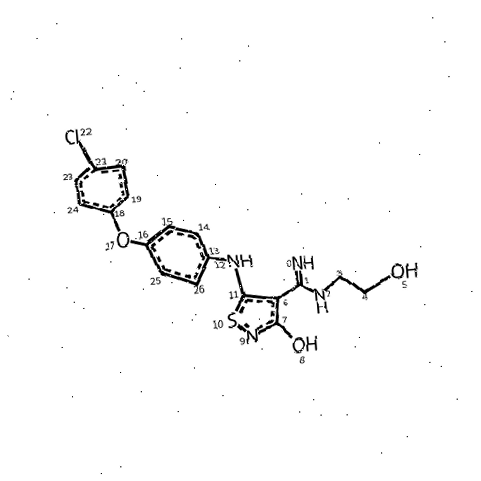 N=C(NCCO)c1c(O)nsc1Nc1ccc(Oc2ccc(Cl)cc2)cc1